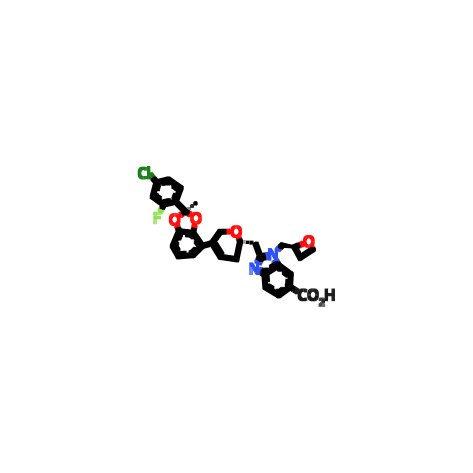 C[C@@]1(c2ccc(Cl)cc2F)Oc2cccc(C3=CC[C@@H](Cc4nc5ccc(C(=O)O)cc5n4C[C@@H]4CCO4)OC3)c2O1